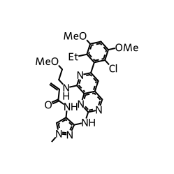 C=CC(=O)Nc1cn(C)nc1Nc1ncc2cc(-c3c(Cl)c(OC)cc(OC)c3CC)nc(NCCOC)c2n1